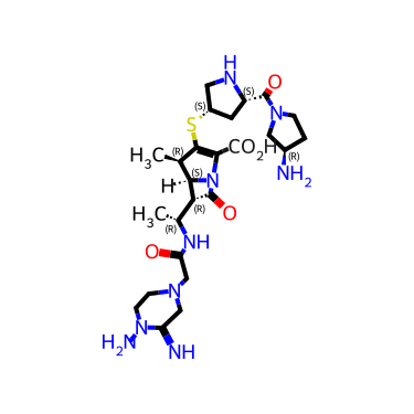 C[C@@H](NC(=O)CN1CCN(N)C(=N)C1)[C@H]1C(=O)N2C(C(=O)O)=C(S[C@@H]3CN[C@H](C(=O)N4CC[C@@H](N)C4)C3)[C@H](C)[C@H]12